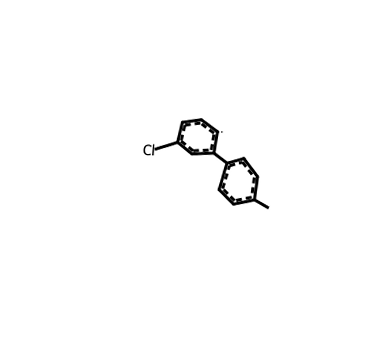 Cc1ccc(-c2[c]ccc(Cl)c2)cc1